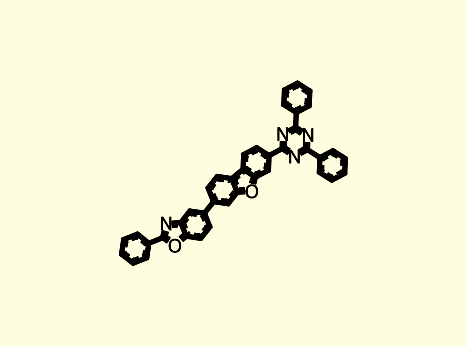 c1ccc(-c2nc(-c3ccccc3)nc(-c3ccc4c(c3)oc3cc(-c5ccc6oc(-c7ccccc7)nc6c5)ccc34)n2)cc1